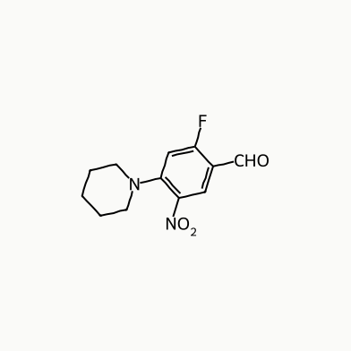 O=Cc1cc([N+](=O)[O-])c(N2CCCCC2)cc1F